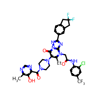 CCc1c(N2CCN(C(=O)c3ncnc(C)c3O)CC2)c(=O)n2nc(-c3ccc4c(c3)CC(F)(F)C4)nc2n1CC(=O)Nc1ccc(C(F)(F)F)cc1Cl